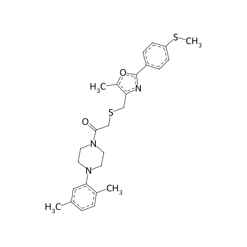 CSc1ccc(-c2nc(CSCC(=O)N3CCN(c4cc(C)ccc4C)CC3)c(C)o2)cc1